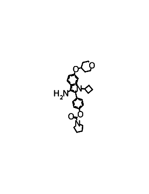 Nc1c(-c2ccc(OC(=O)N3CCCC3)cc2)n(C2CCC2)c2cc(OC3CCOCC3)ccc12